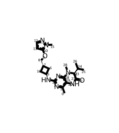 Cc1nc(N[C@H]2C[C@@H](COc3ccnn3C)C2)nc2c1NC(=O)[C@H](C(C)C)N2C